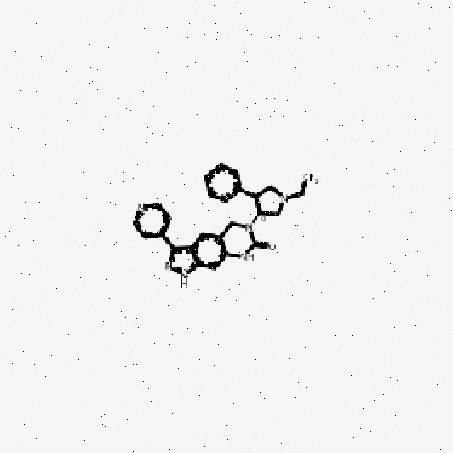 O=C1Nc2cc3[nH]nc(-c4ccncc4)c3cc2CN1[C@@H]1CN(CC(F)(F)F)CC1c1ccccc1